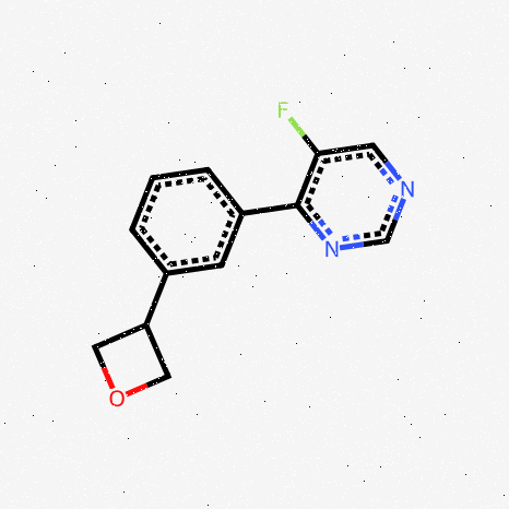 Fc1cncnc1-c1cccc(C2COC2)c1